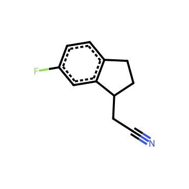 N#CCC1CCc2ccc(F)cc21